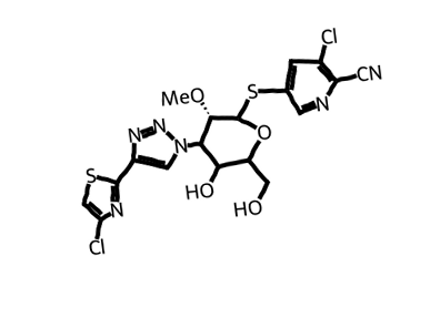 CO[C@@H]1C(Sc2cnc(C#N)c(Cl)c2)OC(CO)C(O)C1n1cc(-c2nc(Cl)cs2)nn1